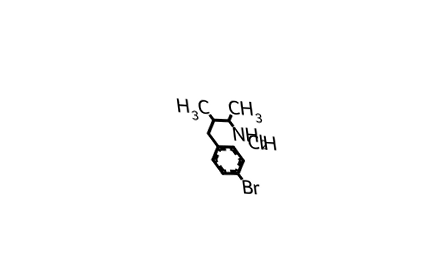 CC(N)C(C)Cc1ccc(Br)cc1.Cl